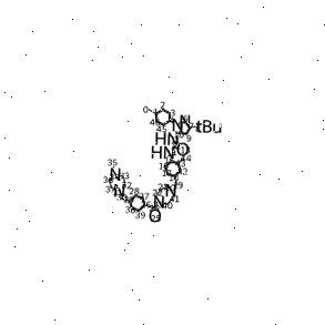 Cc1ccc(-n2nc(C(C)(C)C)cc2NC(=O)Nc2ccc(CN3CCN(C(=O)c4ccc(CN5CCN(C)CC5)cc4)CC3)cc2C)cc1